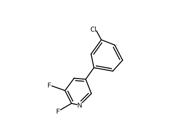 Fc1cc(-c2cc[c]c(Cl)c2)cnc1F